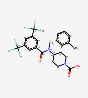 Cc1ccccc1[C@@H]1CN(C(=O)O)CC[C@H]1N(C)C(=O)c1cc(C(F)(F)F)cc(C(F)(F)F)c1